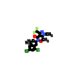 CON(C(=O)c1cn(C)nc1C(F)F)C(C)Cc1c(C)cc(Cl)cc1Cl